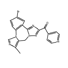 Cc1ncn2c1Cn1nc(C(=O)c3ccncc3)nc1-c1cc(Br)ccc1-2